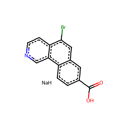 O=C(O)c1ccc2c(c1)cc(Br)c1ccncc12.[NaH]